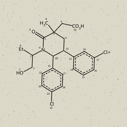 CCC(CO)N1C(=O)C(C)(CC(=O)O)CC(c2cccc(Cl)c2)C1c1ccc(Cl)cc1